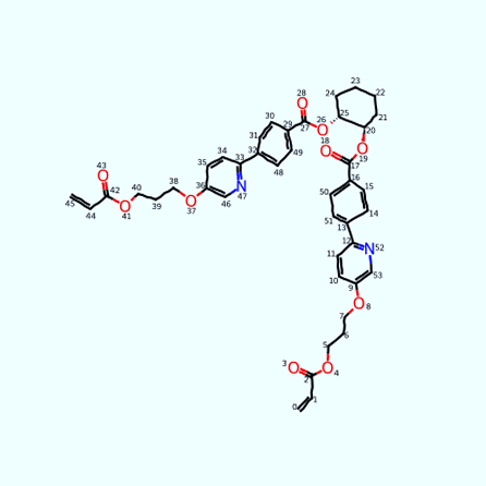 C=CC(=O)OCCCOc1ccc(-c2ccc(C(=O)O[C@@H]3CCCC[C@H]3OC(=O)c3ccc(-c4ccc(OCCCOC(=O)C=C)cn4)cc3)cc2)nc1